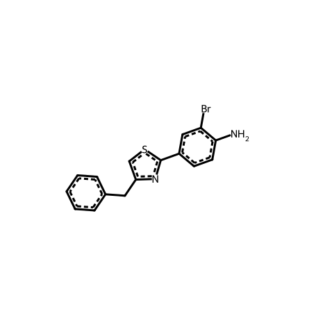 Nc1ccc(-c2nc(Cc3ccccc3)cs2)cc1Br